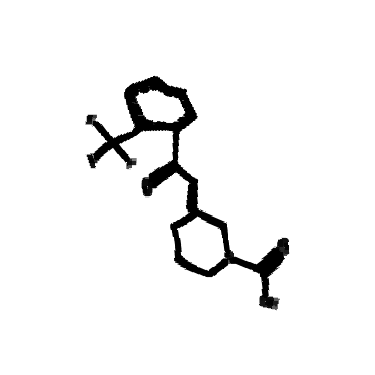 O=C(/C=C1\CCCN(C(=O)O)C1)c1ccccc1C(F)(F)F